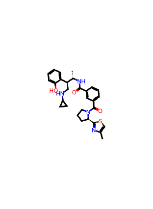 Cc1csc([C@H]2CCCN2C(=O)c2cccc(C(=O)N[C@@H](C)[C@@H](CNC3CC3)c3ccccc3O)c2)n1